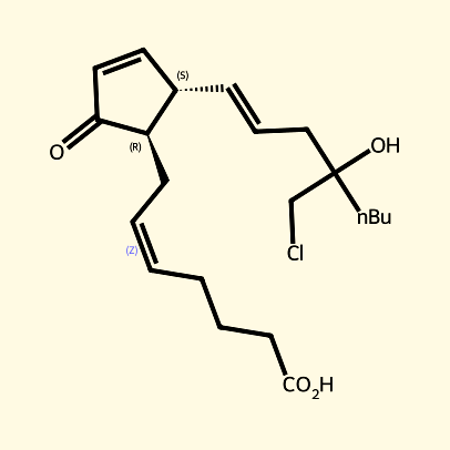 CCCCC(O)(CCl)CC=C[C@H]1C=CC(=O)[C@@H]1C/C=C\CCCC(=O)O